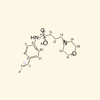 C/C=C/c1ccc(NS(=O)(=O)CCCN2CCOCC2)cc1